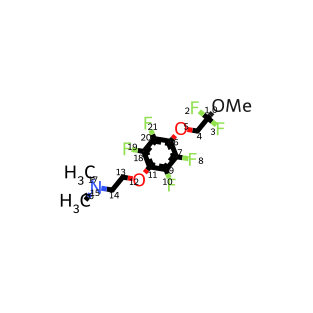 COC(F)(F)COc1c(F)c(F)c(OCCN(C)C)c(F)c1F